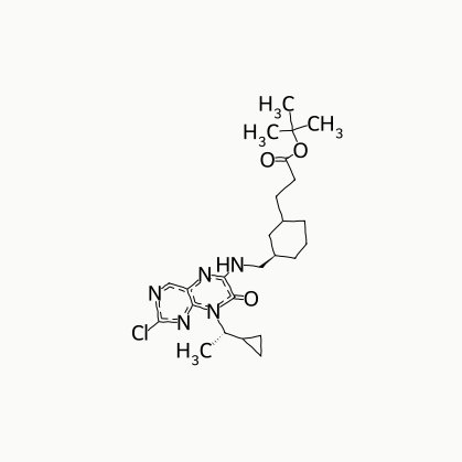 C[C@@H](C1CC1)n1c(=O)c(NC[C@@H]2CCCC(CCC(=O)OC(C)(C)C)C2)nc2cnc(Cl)nc21